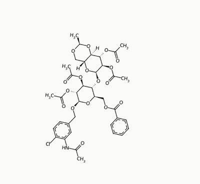 CC(=O)Nc1cc(CO[C@@H]2O[C@H](COC(=O)c3ccccc3)[C@@H](O[C@H]3O[C@@H]4CO[C@@H](C)O[C@H]4[C@H](OC(C)=O)[C@H]3OC(C)=O)[C@H](OC(C)=O)[C@H]2OC(C)=O)ccc1Cl